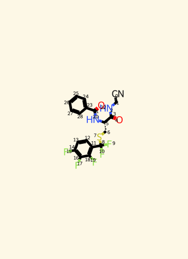 N#CCNC(=O)[C@H](CSC(F)(F)c1ccc(F)c(F)c1F)NC(=O)c1ccccc1